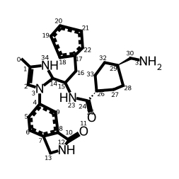 CC1=CN(c2ccc3c(c2)C(=O)NC3)C(C(Cc2ccccc2)NC(=O)[C@H]2CC[C@H](CN)CC2)N1